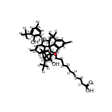 Cc1cc(Sc2cc(C)cc(C(C)(C)C)c2C(CSCCCCCCSCCC(=O)O)(C(=O)O)c2c(Sc3cc(C)cc(C(C)(C)C)c3O)cc(C)cc2C(C)(C)C)c(O)c(C(C)(C)C)c1